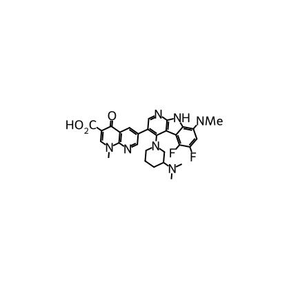 CNc1cc(F)c(F)c2c1[nH]c1ncc(-c3cnc4c(c3)c(=O)c(C(=O)O)cn4C)c(N3CCCC(N(C)C)C3)c12